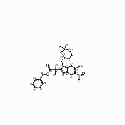 CC1(C)OCC[C@H](Cn2c(C(C)(C)C(=O)OCc3ccccc3)cc3cc([N+](=O)[O-])c(F)cc32)O1